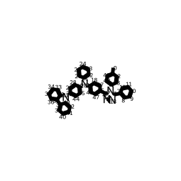 Cc1ccc(-n2c(-c3ccccc3)nnc2-c2ccc(N(c3ccccc3)c3ccc(-n4c5ccccc5c5ccccc54)cc3)cc2)cc1